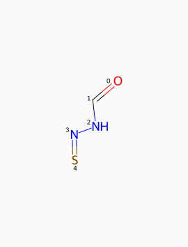 O=CNN=S